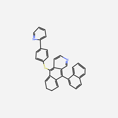 C1=c2c(Sc3ccc(-c4ccccn4)cc3)c3ccncc3c(-c3cccc4ccccc34)c2=CCC1